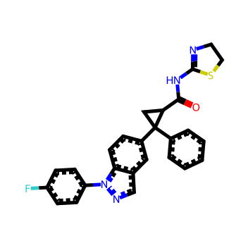 O=C(NC1=NCCS1)C1CC1(c1ccccc1)c1ccc2c(cnn2-c2ccc(F)cc2)c1